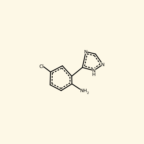 Nc1ccc(Cl)cc1-c1ncn[nH]1